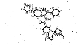 Cn1ccc(-c2cc(C(=O)Nc3c(-c4ccccc4)nc4cc(C5CCCN5)ccn34)ccc2C(F)(F)F)n1